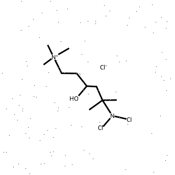 CC(C)(CC(O)CC[N+](C)(C)C)N(Cl)Cl.[Cl-]